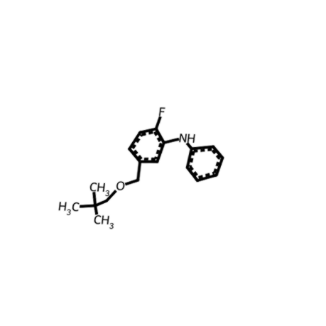 CC(C)(C)COCc1ccc(F)c(Nc2ccccc2)c1